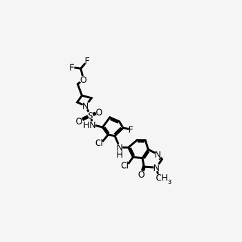 Cn1cnc2ccc(Nc3c(F)ccc(NS(=O)(=O)N4CC(COC(F)F)C4)c3Cl)c(Cl)c2c1=O